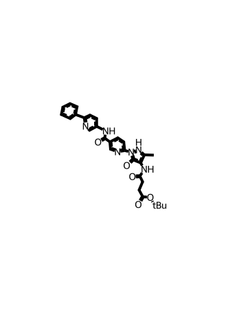 Cc1[nH]n(-c2ccc(C(=O)Nc3ccc(-c4ccccc4)nc3)cn2)c(=O)c1NC(=O)CCC(=O)OC(C)(C)C